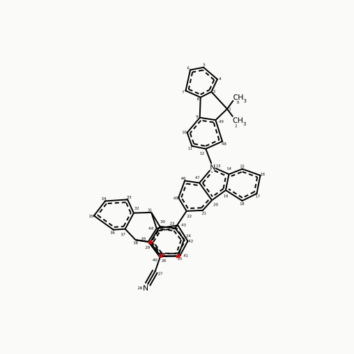 CC1(C)c2ccccc2-c2ccc(-n3c4ccccc4c4cc(-c5ccc(C#N)c6c5C5c7ccccc7C6c6ccccc65)ccc43)cc21